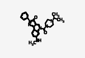 CBc1ccc2c3nn(-c4ccccc4)c(=O)c-3cn(C(=O)N3CCN(C(C)C)CC3)c2c1